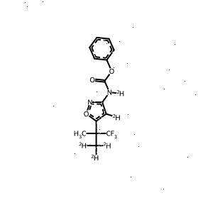 [2H]c1c(N([2H])C(=O)Oc2ccccc2)noc1C(C)(C([2H])([2H])[2H])C(F)(F)F